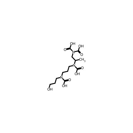 CC(CN(C(=O)O)C(=O)O)N(CCCN(CCCO)C(=O)O)C(=O)O